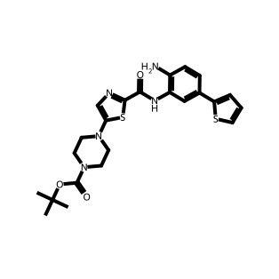 CC(C)(C)OC(=O)N1CCN(c2cnc(C(=O)Nc3cc(-c4cccs4)ccc3N)s2)CC1